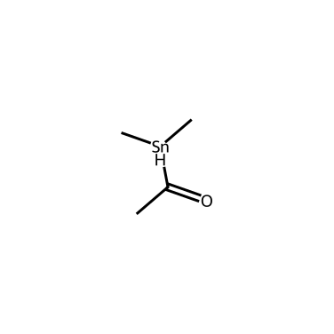 C[C](=O)[SnH]([CH3])[CH3]